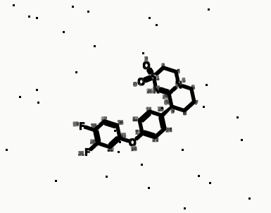 O=S1(=O)CCN2CCC[C@@H](c3ccc(Oc4ccc(F)c(F)c4)cc3)C2=N1